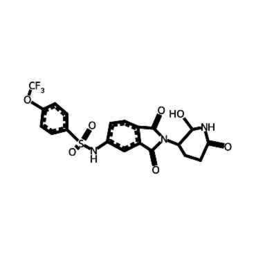 O=C1CCC(N2C(=O)c3ccc(NS(=O)(=O)c4ccc(OC(F)(F)F)cc4)cc3C2=O)C(O)N1